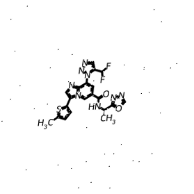 Cc1ccc(-c2cnc3c(-n4nncc4C(F)F)cc(C(=O)N[C@@H](C)c4nnco4)cn23)s1